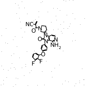 C=C(C#N)C(=O)N1CCC[C@@H](n2c(=O)n(-c3ccc(Oc4cccc(F)c4F)cc3)c3c(N)nccc32)C1